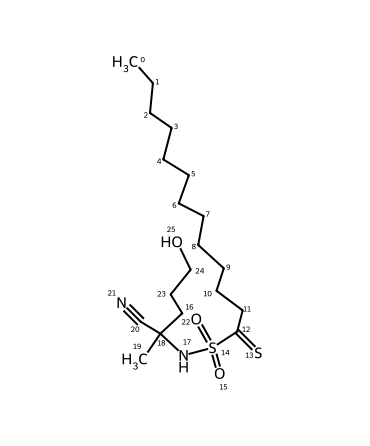 CCCCCCCCCCCCC(=S)S(=O)(=O)NC(C)(C#N)CCCO